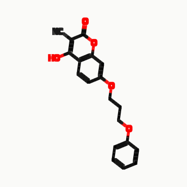 N#Cc1c(O)c2ccc(OCCCOc3ccccc3)cc2oc1=O